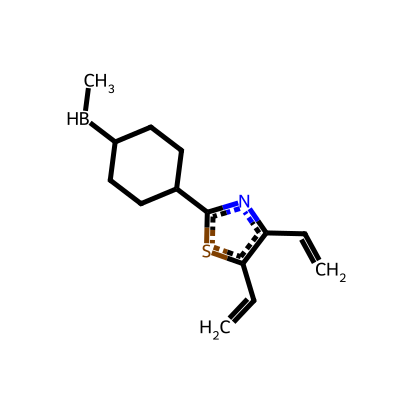 C=Cc1nc(C2CCC(BC)CC2)sc1C=C